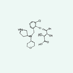 Clc1cccc(CN(C2CCOCC2)[C@H]2CCNC2)c1Cl.O=C(O)C(O)C(O)C(=O)O